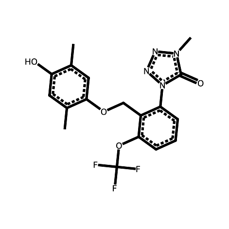 Cc1cc(OCc2c(OC(F)(F)F)cccc2-n2nnn(C)c2=O)c(C)cc1O